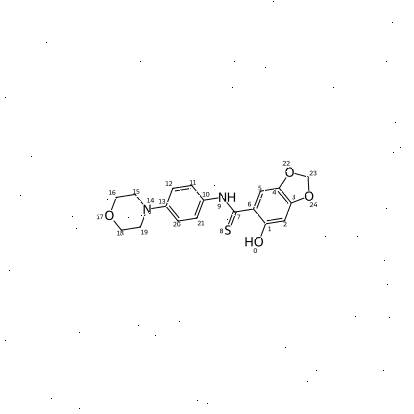 Oc1cc2c(cc1C(=S)Nc1ccc(N3CCOCC3)cc1)OCO2